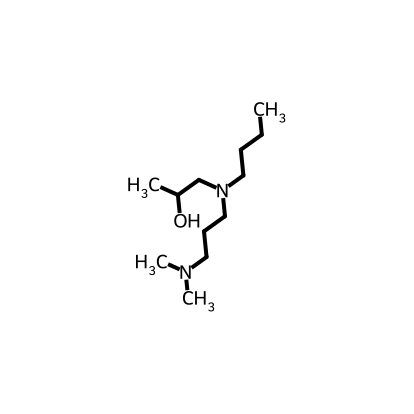 CCCCN(CCCN(C)C)CC(C)O